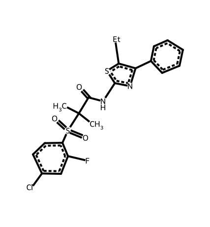 CCc1sc(NC(=O)C(C)(C)S(=O)(=O)c2ccc(Cl)cc2F)nc1-c1ccccc1